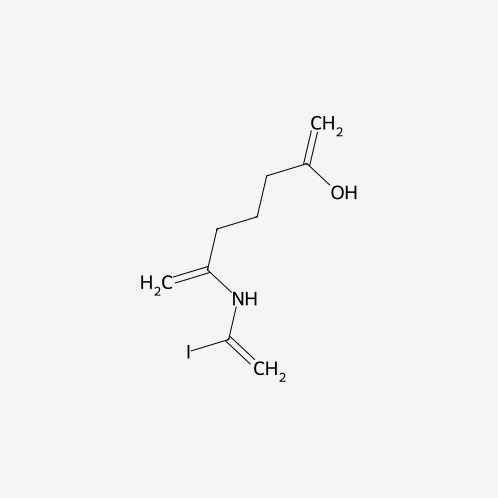 C=C(O)CCCC(=C)NC(=C)I